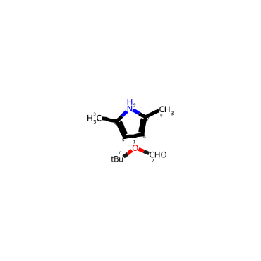 CC(C)(C)OC=O.Cc1ccc(C)[nH]1